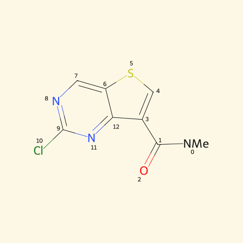 CNC(=O)c1csc2cnc(Cl)nc12